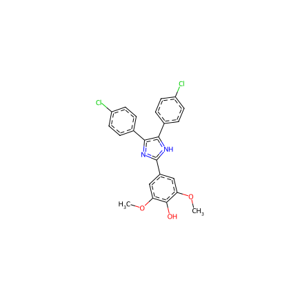 COc1cc(-c2nc(-c3ccc(Cl)cc3)c(-c3ccc(Cl)cc3)[nH]2)cc(OC)c1O